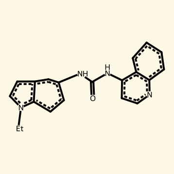 CCn1ccc2cc(NC(=O)Nc3ccnc4ccccc34)ccc21